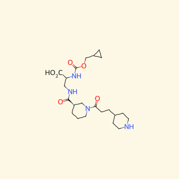 O=C(NC(CNC(=O)[C@@H]1CCCN(C(=O)CCC2CCNCC2)C1)C(=O)O)OCC1CC1